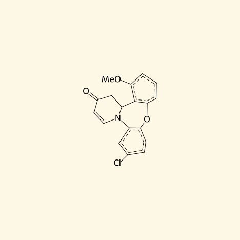 COc1cccc2c1C1CC(=O)C=CN1c1cc(Cl)ccc1O2